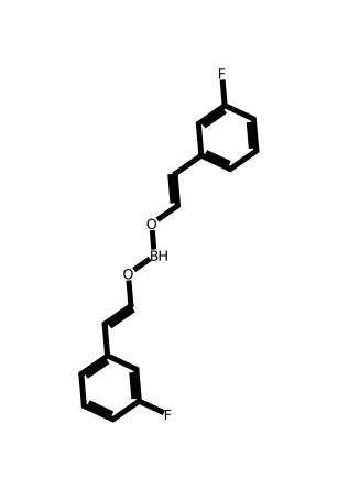 Fc1cccc(C=COBOC=Cc2cccc(F)c2)c1